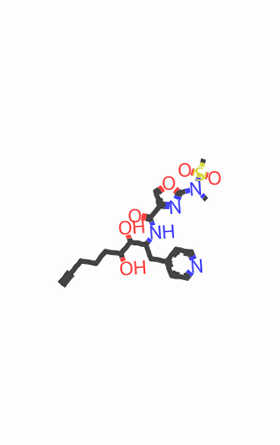 C#CCCCC(O)C(O)C(Cc1ccncc1)NC(=O)c1coc(N(C)S(C)(=O)=O)n1